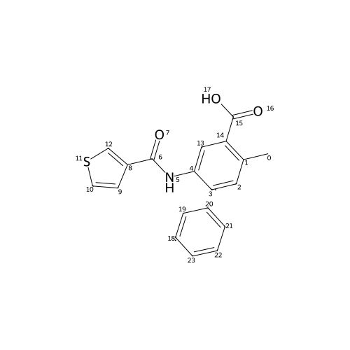 Cc1c[c]c(NC(=O)c2ccsc2)cc1C(=O)O.[c]1ccccc1